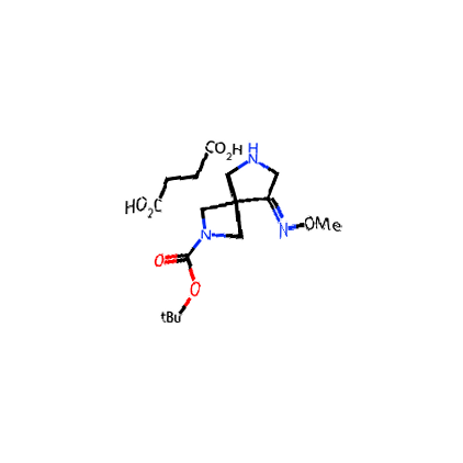 CON=C1CNCC12CN(C(=O)OC(C)(C)C)C2.O=C(O)CCC(=O)O